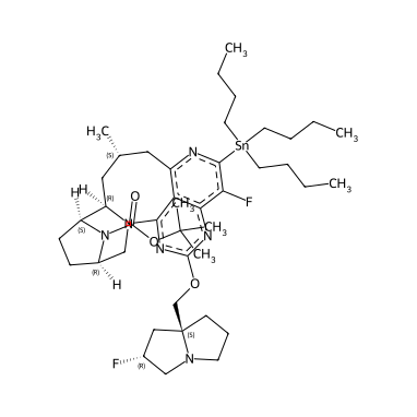 CCC[CH2][Sn]([CH2]CCC)([CH2]CCC)[c]1nc2c3c(nc(OC[C@@]45CCCN4C[C@H](F)C5)nc3c1F)N1C[C@H]3CC[C@@H]([C@H]1C[C@H](C)C2)N3C(=O)OC(C)(C)C